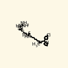 CN(CCCCCCCNC(=S)NCCSCc1csc(NC(=N)N)n1)CCC(c1ccc(Cl)cc1)c1ccccn1